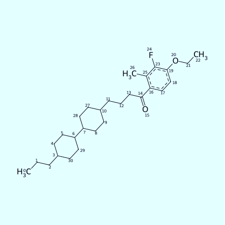 CCCC1CCC(C2CCC(CCCC(=O)c3ccc(OCC)c(F)c3C)CC2)CC1